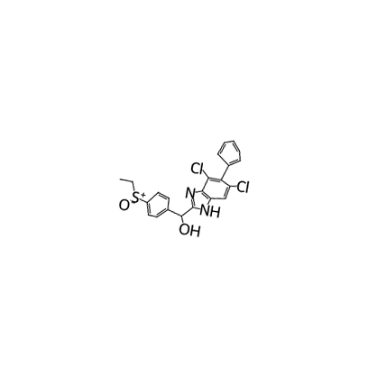 CC[S+]([O-])c1ccc(C(O)c2nc3c(Cl)c(-c4ccccc4)c(Cl)cc3[nH]2)cc1